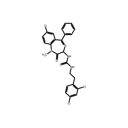 CN1C(=O)C(NC(=S)NCCc2ccc(Cl)cc2Cl)N=C(c2ccccc2)c2cc(Cl)ccc21